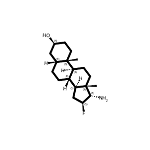 C[C@]12CC[C@H](O)C[C@H]1CC[C@@H]1[C@@H]2CC[C@]2(C)[C@H](N)[C@@H](F)C[C@@H]12